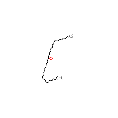 CCCCC/C=C\C/C=C\CCCCCCCCC(=O)CCCCCCCC/C=C\CCCCCCCC